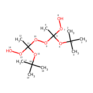 CC(C)(C)OC(C)(OO)OOC(C)(OO)OC(C)(C)C